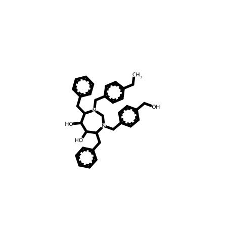 CCc1ccc(CN2CN(Cc3ccc(CO)cc3)C(Cc3ccccc3)C(O)C(O)C2Cc2ccccc2)cc1